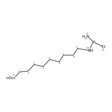 CCCCCCCCCCCCCCCCCNC(N)CC